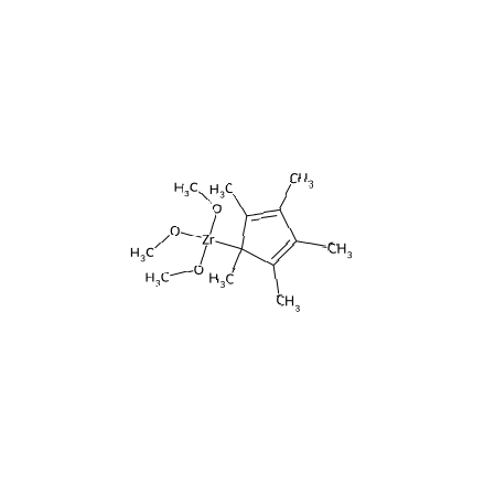 C[O][Zr]([O]C)([O]C)[C]1(C)C(C)=C(C)C(C)=C1C